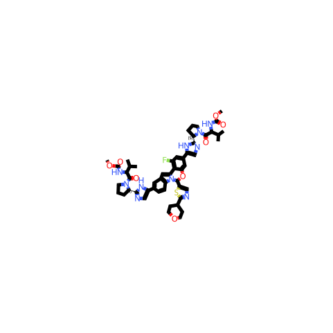 COC(=O)NC(C(=O)N1CCC[C@H]1c1ncc(-c2cc(F)c3c(c2)OC(c2cnc(C4CCOCC4)s2)n2c-3cc3cc(-c4cnc([C@@H]5CCCN5C(=O)C(NC(=O)OC)C(C)C)[nH]4)ccc32)[nH]1)C(C)C